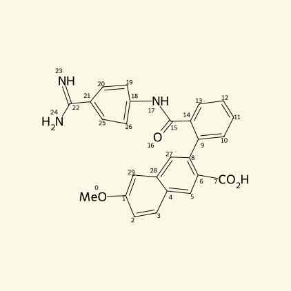 COc1ccc2cc(C(=O)O)c(-c3ccccc3C(=O)Nc3ccc(C(=N)N)cc3)cc2c1